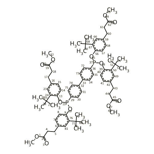 COC(=O)CCc1ccc(OP(Oc2ccc(CCC(=O)OC)cc2C(C)(C)C)c2ccc(-c3ccc(P(Oc4ccc(CCC(=O)OC)cc4C(C)(C)C)Oc4ccc(CCC(=O)OC)cc4C(C)(C)C)cc3)cc2)c(C(C)(C)C)c1